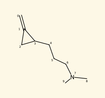 C=C1CC1CCCN(C)C